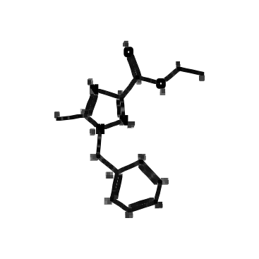 CCOC(=O)c1nc(C)n(Cc2ccccc2)n1